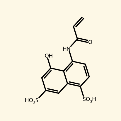 C=CC(=O)Nc1ccc(S(=O)(=O)O)c2cc(S(=O)(=O)O)cc(O)c12